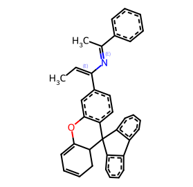 C/C=C(/N=C(\C)c1ccccc1)c1ccc2c(c1)OC1=CC=CCC1C21c2ccccc2-c2ccccc21